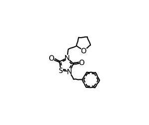 O=c1sn(Cc2ccccc2)c(=O)n1CC1CCCO1